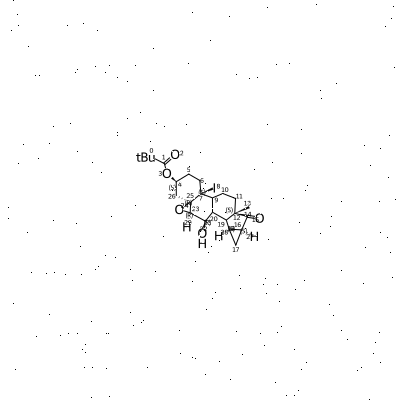 CC(C)(C)C(=O)O[C@H]1CC[C@]2(I)C3CC[C@]4(C)C(=O)[C@H]5C[C@H]5C4C3[C@@H](O)[C@H]3O[C@]32C1